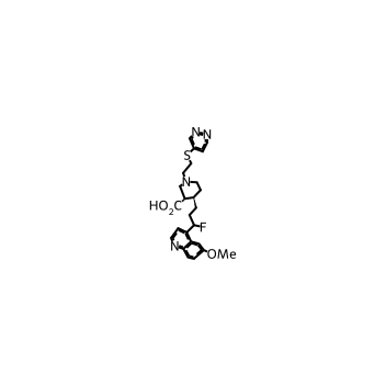 COc1ccc2nccc(C(F)CC[C@@H]3CCN(CCSc4ccnnc4)C[C@@H]3C(=O)O)c2c1